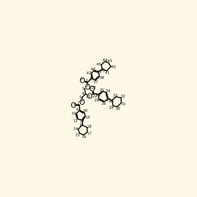 O=C(OCC(COC(=O)c1ccc(C2CCCCC2)cc1)OC(=O)c1ccc(C2CCCCC2)cc1)c1ccc(C2CCCCC2)cc1